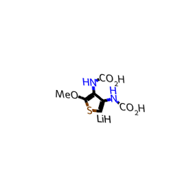 COc1scc(NC(=O)O)c1NC(=O)O.[LiH]